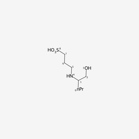 CCCC(CO)NCCCS(=O)(=O)O